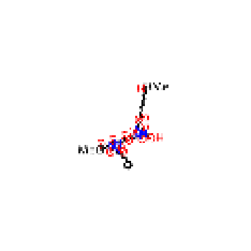 COC(=O)CCCCCCCCC(=O)OCCn1c(=O)n(CCO)c(=O)n(CCOC(=O)CCn2c(=O)n(CCC(=O)OC)c(=O)n(CC(=O)CCC3CCCCC3)c2=O)c1=O